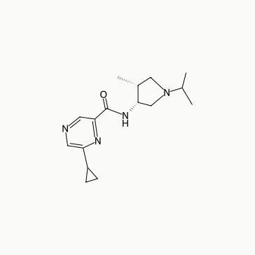 CC(C)N1C[C@@H](C)[C@@H](NC(=O)c2cncc(C3CC3)n2)C1